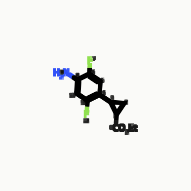 CCOC(=O)C1CC1c1cc(F)c(N)cc1F